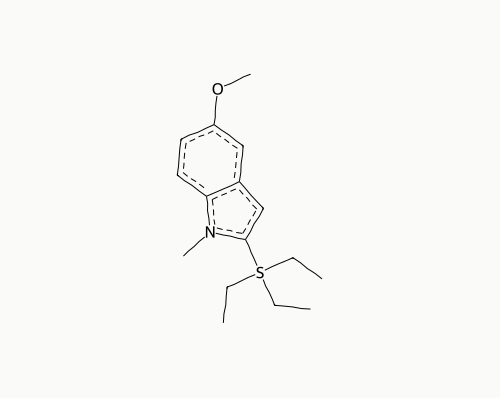 CCS(CC)(CC)c1cc2cc(OC)ccc2n1C